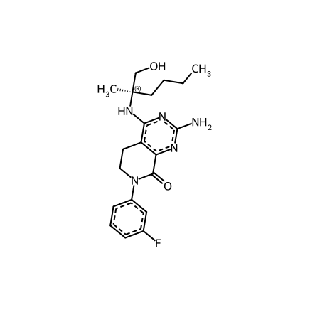 CCCC[C@](C)(CO)Nc1nc(N)nc2c1CCN(c1cccc(F)c1)C2=O